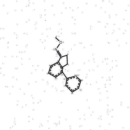 CO/N=C1\CCc2c1cccc2-c1ccccn1